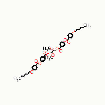 CCCCCCOc1ccc(C(=O)Oc2ccc(C(=O)OC[C@@H](OC)[C@@H](COC(=O)c3ccc(OC(=O)c4ccc(OCCCCCC)cc4)cc3)OC)cc2)cc1